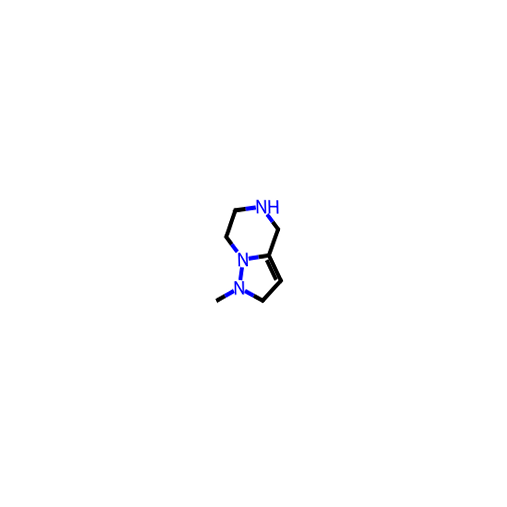 CN1CC=C2CNCCN21